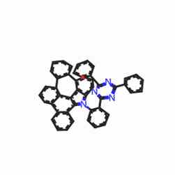 c1ccc(-c2nc(-c3ccccc3)nc(-c3ccccc3-n3c4cccc5c4c4c6c(cccc6c6ccccc6c43)-c3ccccc3-5)n2)cc1